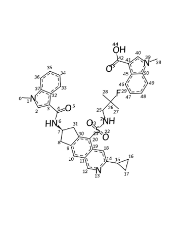 Cn1cc(C(=O)N[C@@H]2Cc3cc4cnc(C5CC5)cc4c(S(=O)(=O)NCC(C)(C)F)c3C2)c2ccccc21.Cn1cc(C(=O)O)c2ccccc21